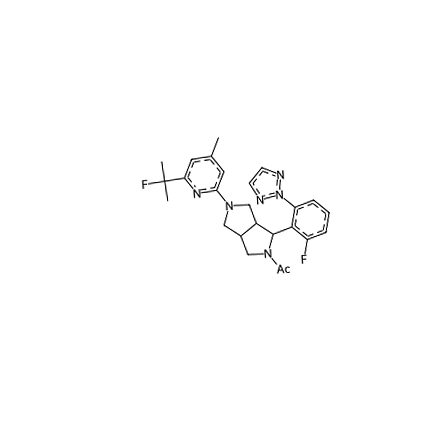 CC(=O)N1CC2CN(c3cc(C)cc(C(C)(C)F)n3)CC2C1c1c(F)cccc1-n1nccn1